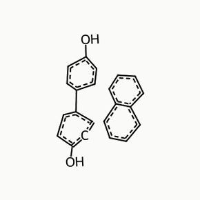 Oc1ccc(-c2ccc(O)cc2)cc1.c1ccc2ccccc2c1